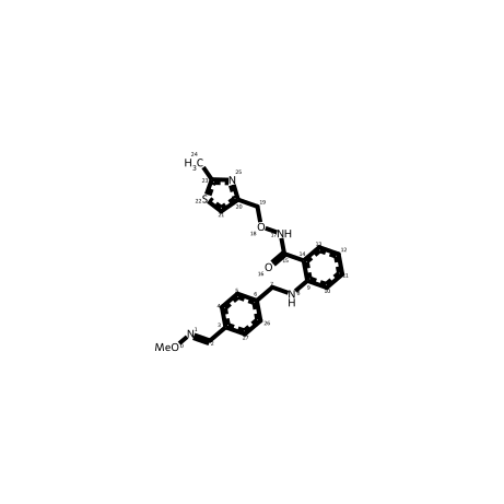 CON=Cc1ccc(CNc2ccccc2C(=O)NOCc2csc(C)n2)cc1